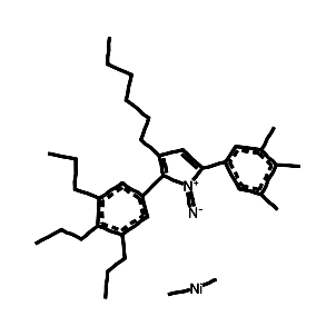 CCCCCCC1=C(c2cc(CCC)c(CCC)c(CCC)c2)[N+](=[N-])C(c2cc(C)c(C)c(C)c2)=C1.[CH3][Ni][CH3]